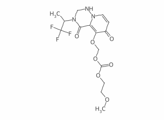 COCCOC(=O)OCOc1c2n(ccc1=O)NCN(C(C)C(F)(F)F)C2=O